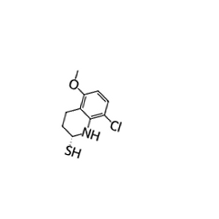 COc1ccc(Cl)c2c1CC[C@@H](S)N2